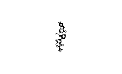 Cn1cc(-c2ccnc(N3CCn4c(cc5c4CC(C)(C)C5)C3=O)c2CO)cc(NC(=O)C2COC2)c1=O